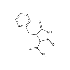 NC(=O)N1C(=O)NC(=O)C1Cc1ccccc1